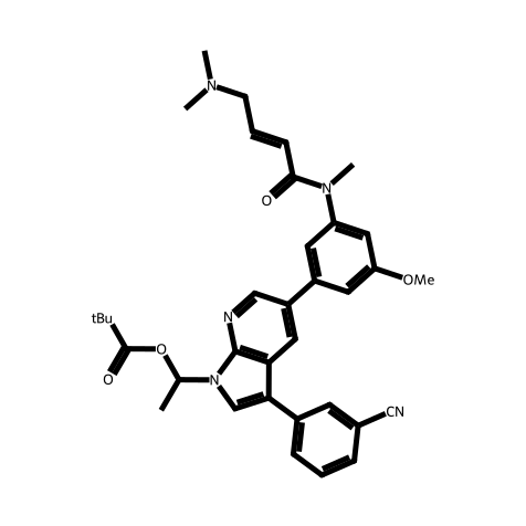 COc1cc(-c2cnc3c(c2)c(-c2cccc(C#N)c2)cn3C(C)OC(=O)C(C)(C)C)cc(N(C)C(=O)/C=C/CN(C)C)c1